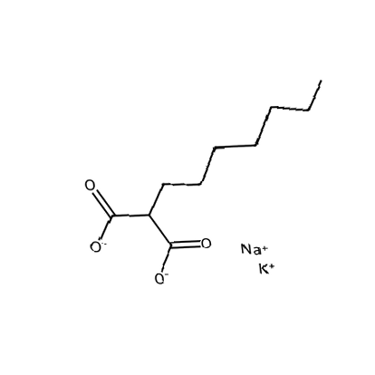 CCCCCCCC(C(=O)[O-])C(=O)[O-].[K+].[Na+]